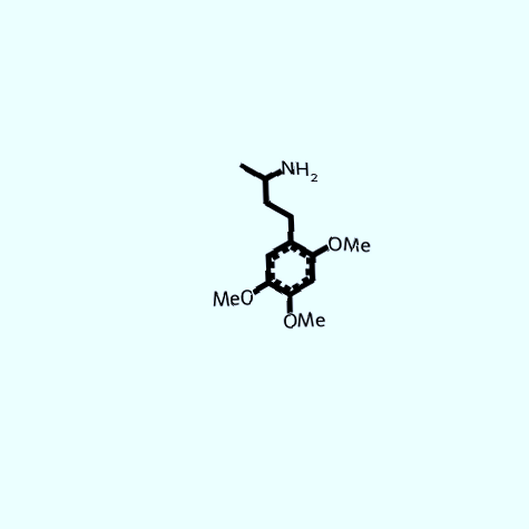 COc1cc(OC)c(OC)cc1CCC(C)N